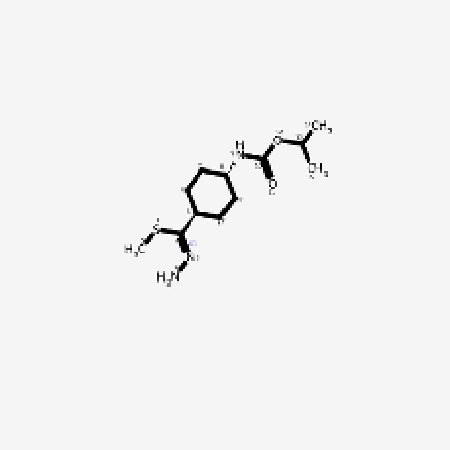 CS/C(=N\N)[C@H]1CC[C@H](NC(=O)OC(C)C)CC1